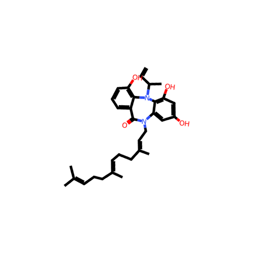 C=CC(C)N1c2c(O)cccc2C(=O)N(C/C=C(\C)CC/C=C(\C)CCC=C(C)C)c2cc(O)cc(O)c21